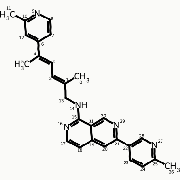 C/C(=C\C=C(/C)c1ccnc(C)c1)CNc1nccc2cc(-c3ccc(C)nc3)ncc12